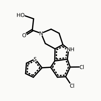 O=C(CO)N1CCc2[nH]c3c(Cl)c(Cl)cc(-c4cccs4)c3c2C1